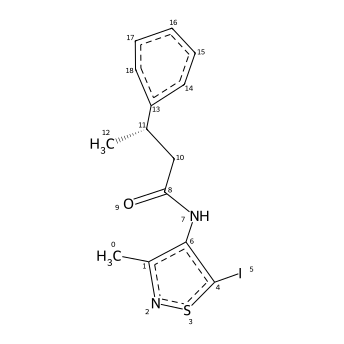 Cc1nsc(I)c1NC(=O)C[C@H](C)c1ccccc1